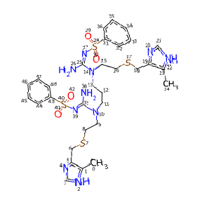 Cc1[nH]cnc1CSCCN(CCCN(CCSCc1nc[nH]c1C)C(N)=NS(=O)(=O)c1ccccc1)C(N)=NS(=O)(=O)c1ccccc1